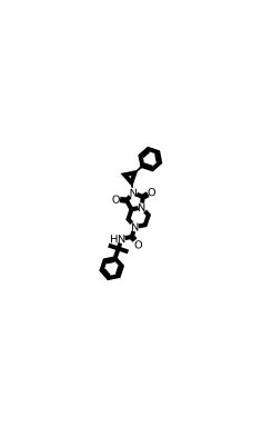 CC(C)(NC(=O)N1CCN2C(=O)N([C@@H]3C[C@H]3c3ccccc3)C(=O)C2C1)c1ccccc1